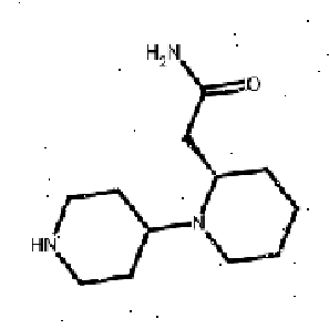 NC(=O)C[C@H]1CCCCN1C1CCNCC1